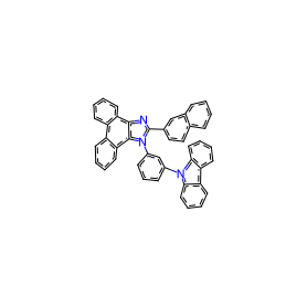 c1cc(-n2c(-c3ccc4ccccc4c3)nc3c4ccccc4c4ccccc4c32)cc(-n2c3ccccc3c3ccccc32)c1